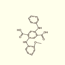 COc1ccccc1Nc1cc(C(=O)O)c(Nc2ccccc2)cc1C(=O)O